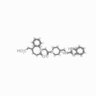 O=C(O)CC1CCC(=O)N(CC(=O)N2CCC(CNc3nc4ccccc4[nH]3)CC2)c2ccccc21